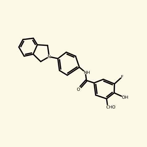 O=Cc1cc(C(=O)Nc2ccc(N3Cc4ccccc4C3)cc2)cc(F)c1O